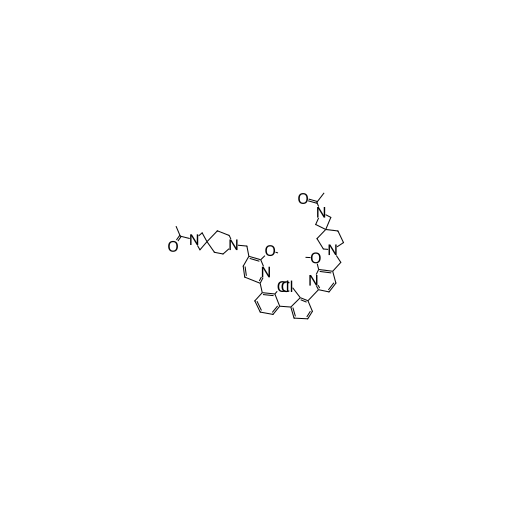 COc1nc(-c2cccc(-c3cccc(-c4ccc(CN5CCC6(CC5)CN(C(C)=O)C6)c(OC)n4)c3Cl)c2Cl)ccc1CN1CCC2(CC1)CN(C(C)=O)C2